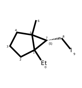 CCC12CCCC1(C)[C@@H]2CI